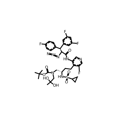 CC(O)(O)CN(C[C@H](CCc1c(F)cncc1NC(=O)C(N=[N+]=[N-])[C@@H](c1ccc(F)cc1)c1cc(F)cc(F)c1)NS(=O)(=O)C1CC1)C(=O)OC(C)(C)C